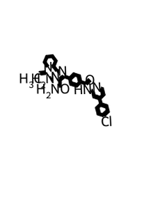 CC=CN1CCCCC1c1nc(-c2ccc(C(=O)Nc3cc(-c4ccc(Cl)cc4)ccn3)cc2)c(C(N)=O)n1N